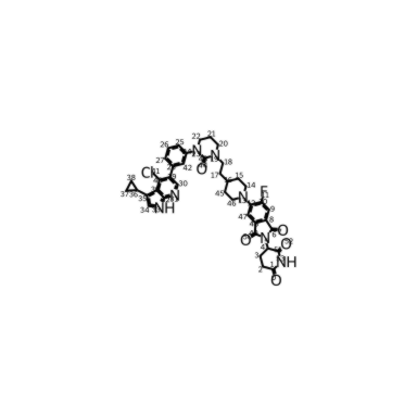 O=C1CCC(N2C(=O)c3cc(F)c(N4CCC(CCN5CCCN(c6cccc(-c7cnc8[nH]cc(C9CC9)c8c7Cl)c6)C5=O)CC4)cc3C2=O)C(=O)N1